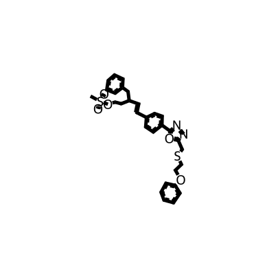 CS(=O)(=O)OCCC(/C=C/c1ccc(-c2nnc(CSCCOc3ccccc3)o2)cc1)Cc1ccccc1